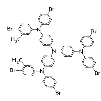 Cc1cc(N(c2ccc(Br)cc2)c2ccc(N(c3ccc(N(c4ccc(Br)cc4)c4ccc(Br)cc4)cc3)c3ccc(N(c4ccc(Br)cc4)c4ccc(Br)c(C)c4)cc3)cc2)ccc1Br